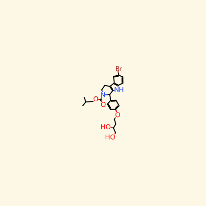 CC(C)COC(=O)N1CCc2c([nH]c3ccc(Br)cc23)C1c1ccc(OCC[C@H](O)CO)cc1